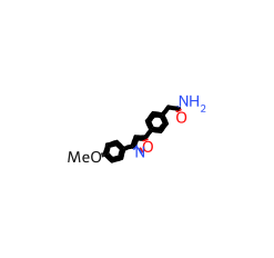 COc1ccc(-c2cc(-c3ccc(CC(N)=O)cc3)on2)cc1